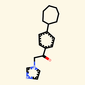 O=C(Cn1ccnc1)c1ccc(C2CCCCCC2)cc1